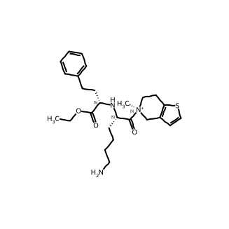 CCOC(=O)[C@H](CCc1ccccc1)N[C@@H](CCCCN)C(=O)[N@@+]1(C)CCc2sccc2C1